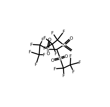 C=S(=O)(C(S(=O)(=O)C(F)(F)C(F)(F)F)S(=O)(=O)C(F)(F)C(F)(F)F)C(F)(F)C(F)(F)F